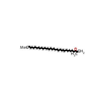 C=C(C)C(=O)CCCCCCCCCCCCCCCCCCCCCCCCCCCCCCOC